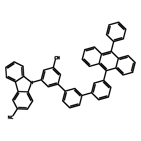 N#Cc1cc(-c2cccc(-c3cccc(-c4c5ccccc5c(-c5ccccc5)c5ccccc45)c3)c2)cc(-n2c3ccccc3c3cc(C#N)ccc32)c1